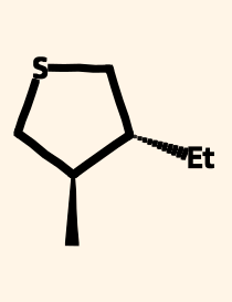 CC[C@H]1CSC[C@@H]1C